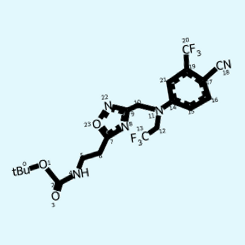 CC(C)(C)OC(=O)NCCc1nc(CN(CC(F)(F)F)c2ccc(C#N)c(C(F)(F)F)c2)no1